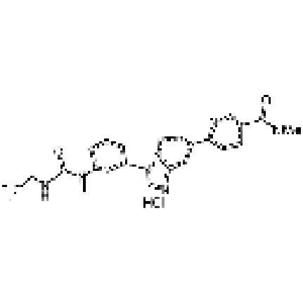 CNC(=O)c1ccc(-c2ccn3c(-c4cccc(NC(=O)NCC(F)(F)F)c4)cnc3c2)nc1.Cl